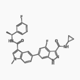 C[C@H](NC(=O)c1cn(C)c2ccc(-c3cc(F)c4c(C(=O)NC5CC5)n[nH]c4c3)cc12)c1cccc(F)c1